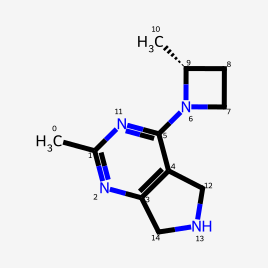 Cc1nc2c(c(N3CC[C@H]3C)n1)CNC2